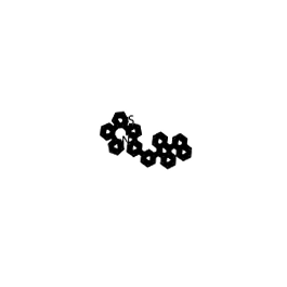 c1cc(-c2ccc3c(c2)c2ccc4sc5cccc6c7ccccc7c7ccccc7n3c2c4c56)cc(-c2c3ccccc3c(-c3cccc4ccccc34)c3ccccc23)c1